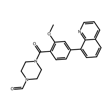 COc1cc(-c2cccc3cccnc23)ccc1C(=O)N1CCN(C=O)CC1